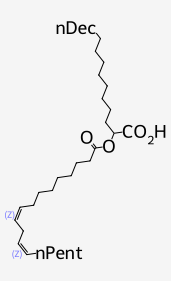 CCCCC/C=C\C/C=C\CCCCCCCC(=O)OC(CCCCCCCCCCCCCCCCCC)C(=O)O